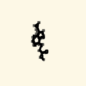 COC(=O)CSc1ncnc2c(C3CC3)csc12